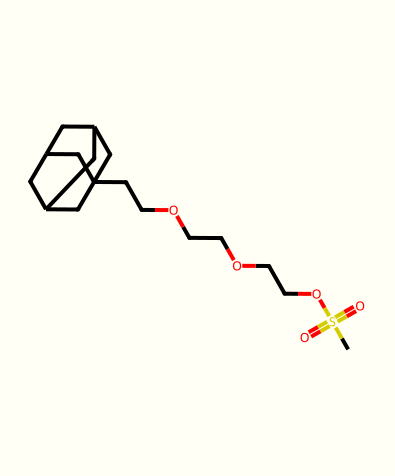 CS(=O)(=O)OCCOCCOCCC12CC3CC(CC(C3)C1)C2